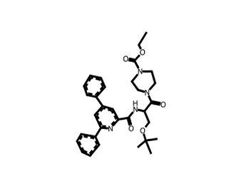 CCOC(=O)N1CCN(C(=O)C(COC(C)(C)C)NC(=O)c2cc(-c3ccccc3)cc(-c3ccccc3)n2)CC1